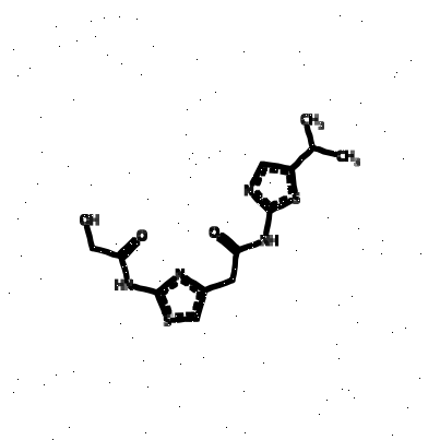 CC(C)c1cnc(NC(=O)Cc2csc(NC(=O)CO)n2)s1